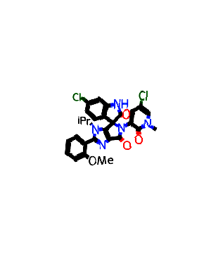 COc1ccccc1-c1nc2c(n1C(C)C)[C@]1(C(=O)Nc3cc(Cl)ccc31)N(c1cc(Cl)cn(C)c1=O)C2=O